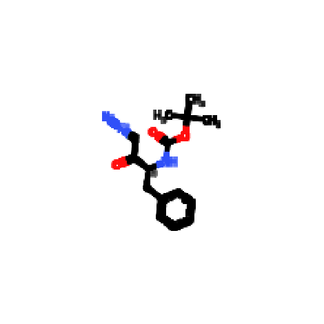 CC(C)(C)OC(=O)N[C@@H](Cc1ccccc1)C(=O)C=[N+]=[N-]